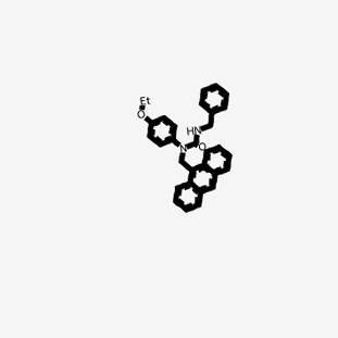 CCOc1ccc(N(Cc2c3ccccc3cc3ccccc23)C(=O)NCc2ccccc2)cc1